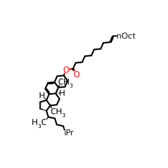 CCCCCCCCC=CCCCCCCCC(=O)OC1CC[C@@]2(C)C(=CC=C3[C@@H]4CC[C@H]([C@H](C)CCCC(C)C)[C@@]4(C)CC[C@@H]32)C1